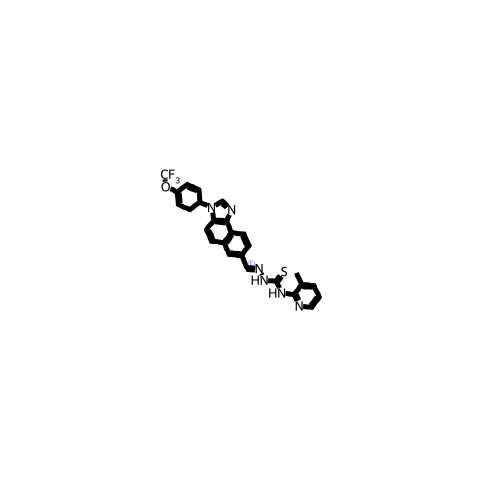 Cc1cccnc1NC(=S)N/N=C/c1ccc2c(ccc3c2ncn3C2C=CC(OC(F)(F)F)=CC2)c1